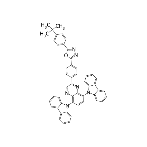 CC(C)(C)c1ccc(-c2nnc(-c3ccc(-c4cnc5c(-n6c7ccccc7c7ccccc76)ccc(-n6c7ccccc7c7ccccc76)c5n4)cc3)o2)cc1